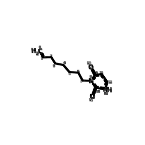 C=CCCCCCCn1c(=O)cc[nH]c1=O